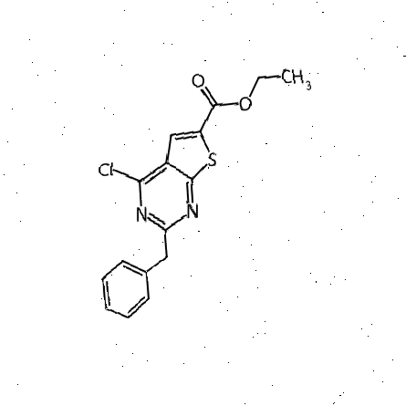 CCOC(=O)c1cc2c(Cl)nc(Cc3ccccc3)nc2s1